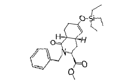 CC[Si](CC)(CC)OC1=C[C@@H]2C[C@@H](C(=O)OC)N(Cc3ccccc3)C(=O)[C@@H]2CC1